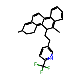 CC1=c2ccccc2=c2ccc3c(c2C1CCc1ccc(C(F)(F)F)nc1)CCC(C)C=3